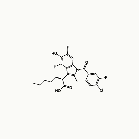 CCCCC[C@H](C(=O)O)c1c(C)n(C(=O)c2ccc(Cl)c(F)c2)c2cc(F)c(O)c(F)c12